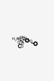 CC(c1ccc(OCc2ccccc2)cc1)N(OC1CCCCO1)C(=O)N(C)C